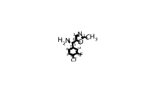 Cc1ncc([C@@H](N)c2ccc(Cl)c(F)c2)o1